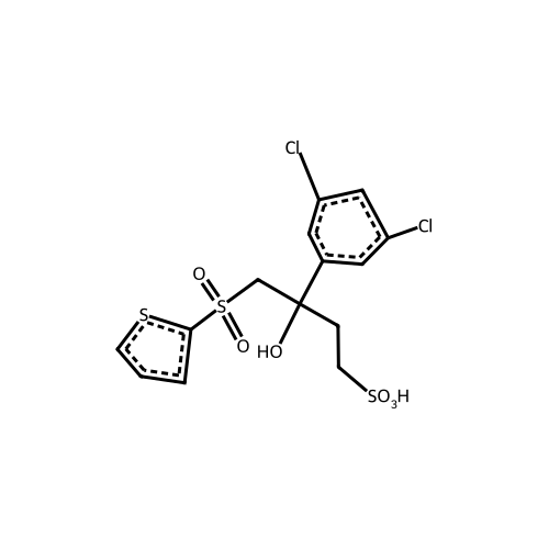 O=S(=O)(O)CCC(O)(CS(=O)(=O)c1cccs1)c1cc(Cl)cc(Cl)c1